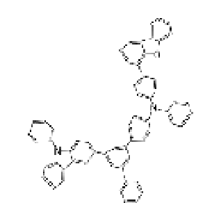 c1ccc(-c2cc(-c3ccc(N(c4ccccc4)c4ccc(-c5cccc6c5oc5ccccc56)cc4)cc3)cc(-c3ccc4c(c3)c3ccccc3n4-c3ccccc3)c2)cc1